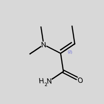 C/C=C(/C(N)=O)N(C)C